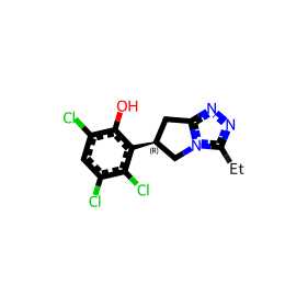 CCc1nnc2n1C[C@@H](c1c(O)c(Cl)cc(Cl)c1Cl)C2